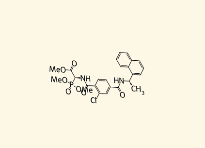 COC(=O)[C@@H](NC(=O)c1ccc(C(=O)N[C@H](C)c2cccc3ccccc23)cc1Cl)P(=O)(OC)OC